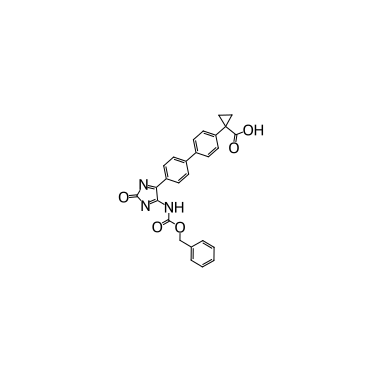 O=C1N=C(NC(=O)OCc2ccccc2)C(c2ccc(-c3ccc(C4(C(=O)O)CC4)cc3)cc2)=N1